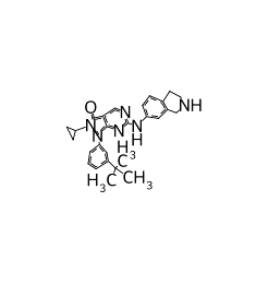 CC(C)(C)c1cccc(-n2c3nc(Nc4ccc5c(c4)CNCC5)ncc3c(=O)n2C2CC2)c1